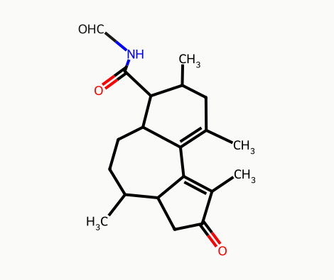 CC1=C2C3=C(C)C(=O)CC3C(C)CCC2C(C(=O)NC=O)C(C)C1